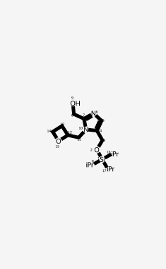 CC(C)[Si](OCc1cnc(CO)n1CC1CCO1)(C(C)C)C(C)C